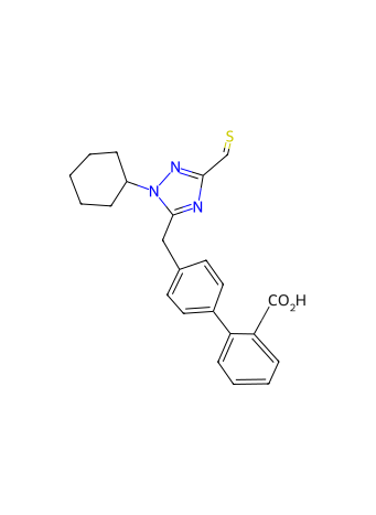 O=C(O)c1ccccc1-c1ccc(Cc2nc(C=S)nn2C2CCCCC2)cc1